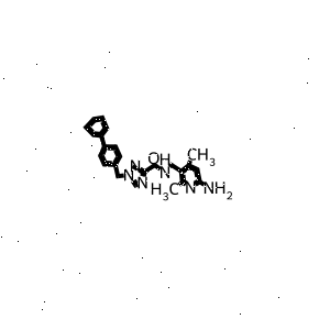 Cc1cc(N)nc(C)c1CNC(=O)c1ncn(Cc2ccc(-c3ccccc3)cc2)n1